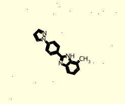 Cc1cccc2nc(-c3ccc(-n4cccn4)cc3)[nH]c12